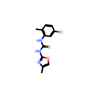 Cc1coc(NC(=S)Nc2cc(Cl)ccc2C)n1